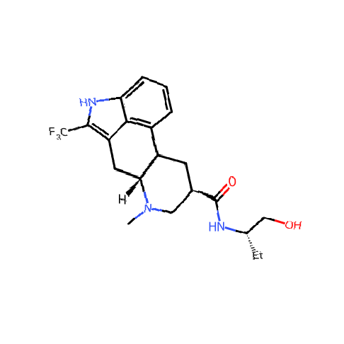 CC[C@@H](CO)NC(=O)[C@@H]1CC2c3cccc4[nH]c(C(F)(F)F)c(c34)C[C@H]2N(C)C1